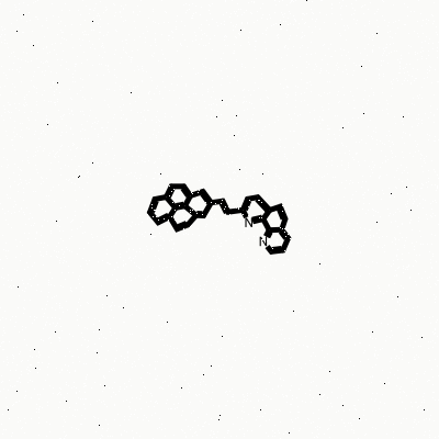 C(=C\c1ccc2ccc3cccnc3c2n1)/c1cc2ccc3cccc4ccc(c1)c2c34